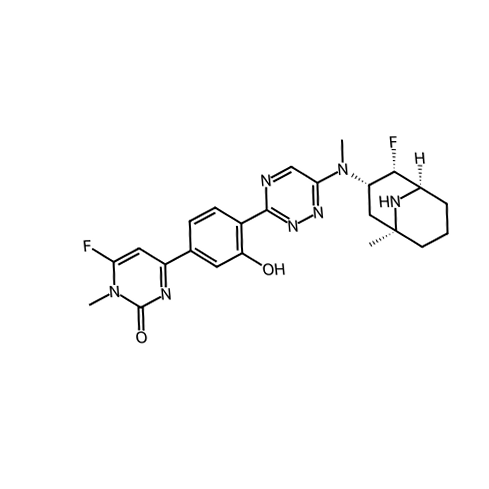 CN(c1cnc(-c2ccc(-c3cc(F)n(C)c(=O)n3)cc2O)nn1)[C@H]1C[C@]2(C)CCC[C@@H](N2)[C@H]1F